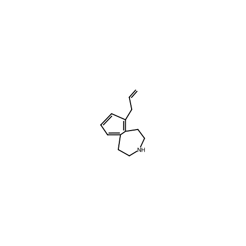 C=CCc1cccc2c1CCNCC2